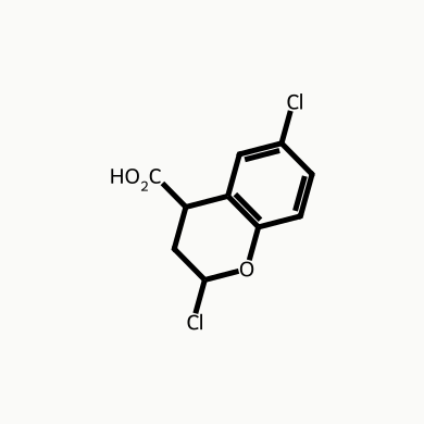 O=C(O)C1CC(Cl)Oc2ccc(Cl)cc21